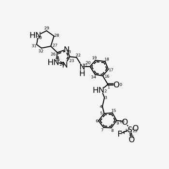 O=C(NCCc1cccc(OS(=O)(=O)F)c1)c1cccc(NCc2n[nH]c(C3CCNCC3)n2)c1